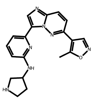 Cc1oncc1-c1ccc2ncc(-c3cccc(NC4CCNC4)n3)n2n1